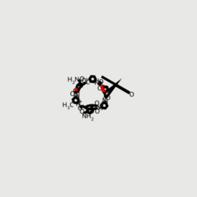 CC1CC[C@@H]2[C@H](CC(=O)c3ccc4c5c(ccc(C(N)=O)c35)C(=O)N(C4=O)[C@@H]3CCCC[C@H]3N3C(=O)c4ccc5c6c(ccc(c46)C3=O)C(=O)N(C5=O)[C@@H]3CCCC[C@H]3CC(=O)c3cc4c(cc3C(N)=O)C(=O)N2C4=O)C1